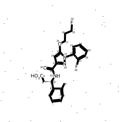 Cc1ccccc1[C@H](CC(=O)O)NC(=O)c1cc(OCCCF)n(-c2ccccc2F)n1